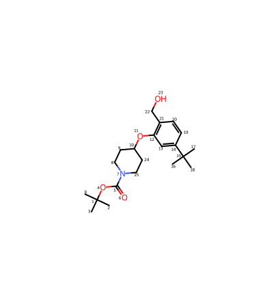 CC(C)(C)OC(=O)N1CCC(Oc2cc(C(C)(C)C)ccc2CO)CC1